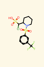 O=S(=O)(O)C(Cl)C1CCCCN1S(=O)(=O)c1cccc(C(F)(F)F)c1